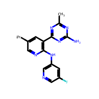 Cc1nc(N)nc(-c2cc(C(C)C)cnc2Nc2cncc(F)c2)n1